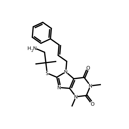 Cn1c(=O)c2c(nc(SC(C)(C)CN)n2CC=Cc2ccccc2)n(C)c1=O